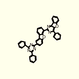 c1ccc(-c2nc(-c3ccccc3)nc(-c3ccc4oc5c(-c6nc(-c7ccccc7)c7oc8ccccc8c7n6)cccc5c4c3)n2)cc1